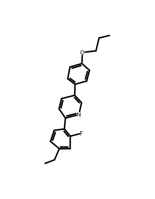 CCCOc1ccc(-c2ccc(-c3ccc(CC)cc3F)nc2)cc1